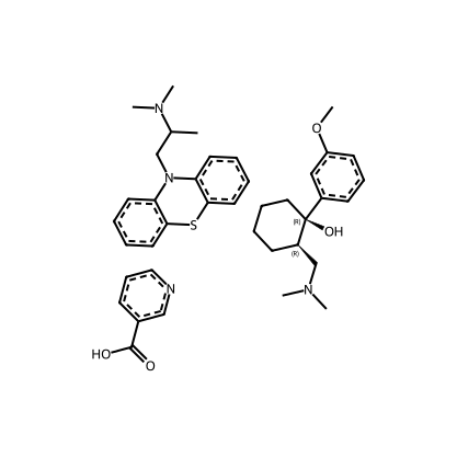 CC(CN1c2ccccc2Sc2ccccc21)N(C)C.COc1cccc([C@@]2(O)CCCC[C@@H]2CN(C)C)c1.O=C(O)c1cccnc1